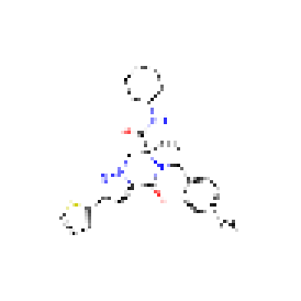 Cc1ccc(CN2C(=O)c3cc(-c4cccs4)nn3CC2(C)C(=O)NC2CCCCC2)cc1